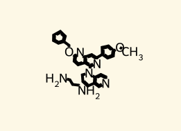 COc1ccc(-c2cc3nc(OCc4ccccc4)ccc3c(N3CC=Cc4cnccc43)n2)cc1.NCCCN